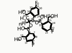 CCCC(C)(OB(O)c1ccc(F)cc1CO)B(OB(O)c1ccc(F)cc1CO)c1ccc(F)cc1CO